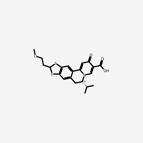 COCCC1Oc2cc3c(cc2S1)-c1cc(=O)c(C(=O)O)cn1[C@H](C(C)C)C3